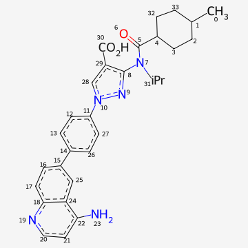 CC1CCC(C(=O)N(c2nn(-c3ccc(-c4ccc5nccc(N)c5c4)cc3)cc2C(=O)O)C(C)C)CC1